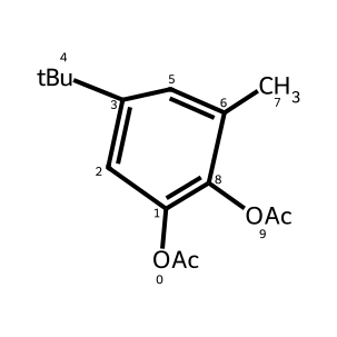 CC(=O)Oc1cc(C(C)(C)C)cc(C)c1OC(C)=O